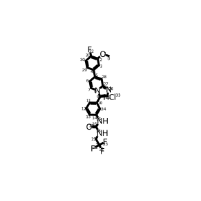 COc1cc(-c2ccn3c(-c4cccc(NC(=O)NCC(F)(F)F)c4)cnc3c2)ccc1F.Cl